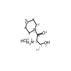 C[C@@H](O)[C@H](N)C(=O)N1CCOCC1.Cl